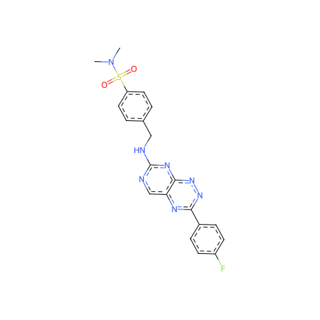 CN(C)S(=O)(=O)c1ccc(CNc2ncc3nc(-c4ccc(F)cc4)nnc3n2)cc1